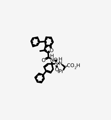 Cc1c(C(=O)NC2(S(=O)(=O)N[C@H](C(=O)O)C(C)C)C=CC(c3ccccc3)=CC2)oc2cccc(-c3ccccc3)c12